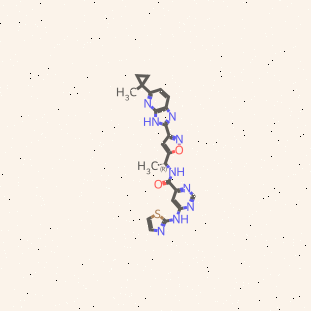 C[C@@H](NC(=O)c1cc(Nc2nccs2)ncn1)c1cc(-c2nc3ccc(C4(C)CC4)nc3[nH]2)no1